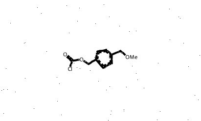 COCc1ccc(COC(=O)Cl)cc1